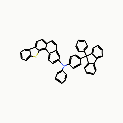 c1ccc(N(c2ccc(C3(c4ccccc4)c4ccccc4-c4ccccc43)cc2)c2ccc3c(ccc4ccc5c6ccccc6sc5c43)c2)cc1